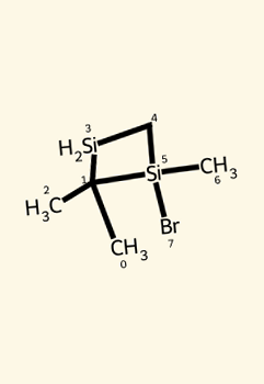 CC1(C)[SiH2]C[Si]1(C)Br